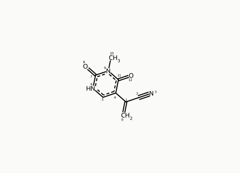 C=C(C#N)c1c[nH]c(=O)n(C)c1=O